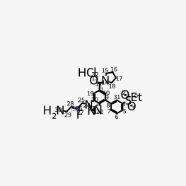 CCS(=O)(=O)c1cccc(-c2cc(C(=O)N3CCCC3)cc3c2nnn3C/C(F)=C/CN)c1.Cl